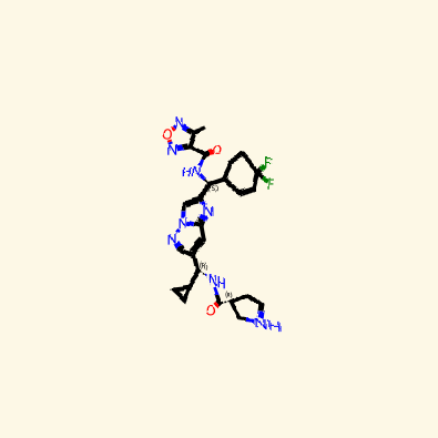 Cc1nonc1C(=O)N[C@H](c1cn2ncc([C@H](NC(=O)[C@@H]3CCNC3)C3CC3)cc2n1)C1CCC(F)(F)CC1